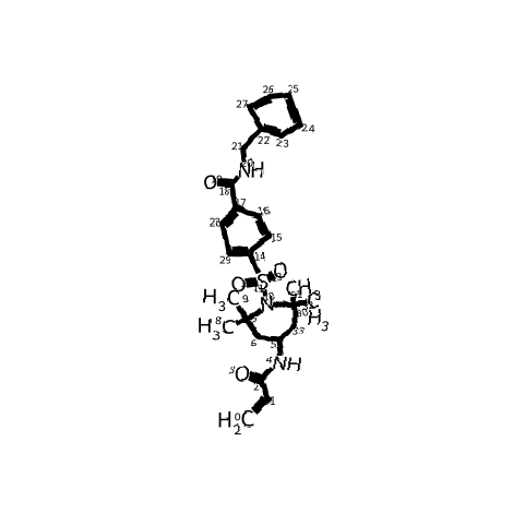 C=CC(=O)NC1CC(C)(C)N(S(=O)(=O)c2ccc(C(=O)NCc3ccccc3)cc2)C(C)(C)C1